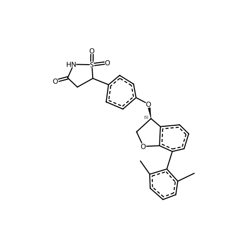 Cc1cccc(C)c1-c1cccc2c1OC[C@H]2Oc1ccc(C2CC(=O)NS2(=O)=O)cc1